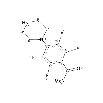 CNC(=O)c1c(F)c(F)c(N2CCNCC2)c(F)c1F